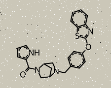 O=C(c1ccc[nH]1)N1CC2CC1CN2Cc1ccc(Oc2nc3ccccc3s2)cc1